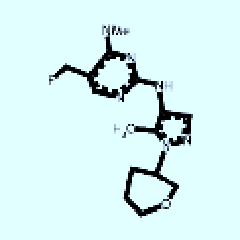 CNc1nc(Nc2cnn(C3CCCOC3)c2C)ncc1CF